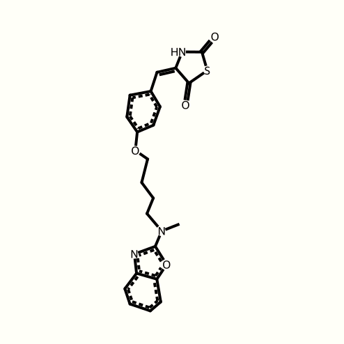 CN(CCCCOc1ccc(C=C2NC(=O)SC2=O)cc1)c1nc2ccccc2o1